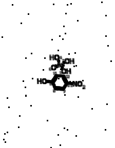 O=[As](O)(O)O.O=[N+]([O-])c1ccc(O)cc1